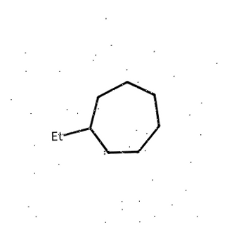 CCC1[C]CCCCC1